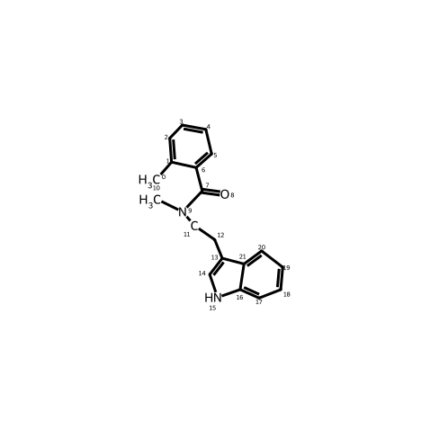 Cc1ccccc1C(=O)N(C)CCc1c[nH]c2ccccc12